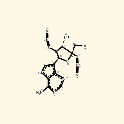 [N-]=[N+]=NC1[C@H](c2csc3c(N)ncnc23)O[C@@](CO)(N=[N+]=[N-])[C@H]1O